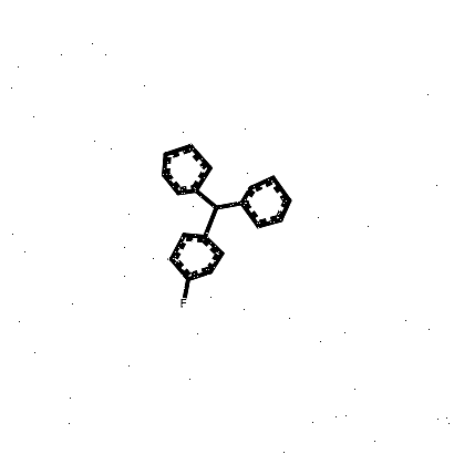 Fc1[c]cc(C(c2ccccc2)c2ccccc2)cc1